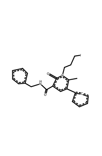 Cc1c(-c2ccccc2)cc(C(=O)NCc2ccccc2)c(=O)n1CCCI